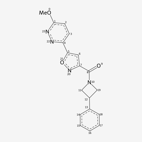 COc1ccc(-c2cc(C(=O)N3CC(c4ccccc4)C3)no2)nn1